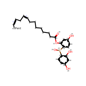 CCCCC/C=C\C/C=C\CCCCCCCC(=O)Oc1cc(O)ccc1[S+]([O-])c1ccc(O)cc1O